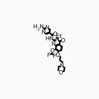 CCn1c(NC(=O)c2cnc(N)nc2)nc2c(OC(F)F)c(OCCCN3CCOCC3)ccc2c1=O